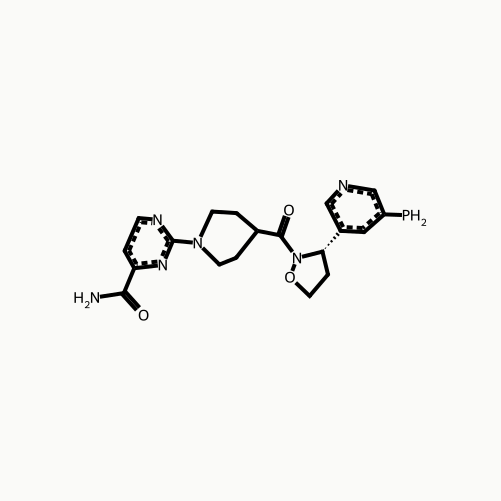 NC(=O)c1ccnc(N2CCC(C(=O)N3OCC[C@H]3c3cncc(P)c3)CC2)n1